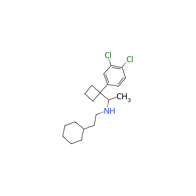 CC(NCCC1CCCCC1)C1(c2ccc(Cl)c(Cl)c2)CCC1